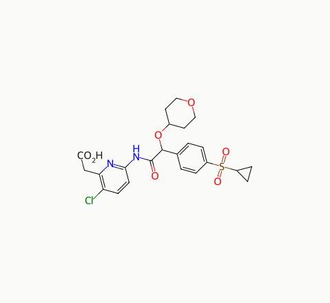 O=C(O)Cc1nc(NC(=O)C(OC2CCOCC2)c2ccc(S(=O)(=O)C3CC3)cc2)ccc1Cl